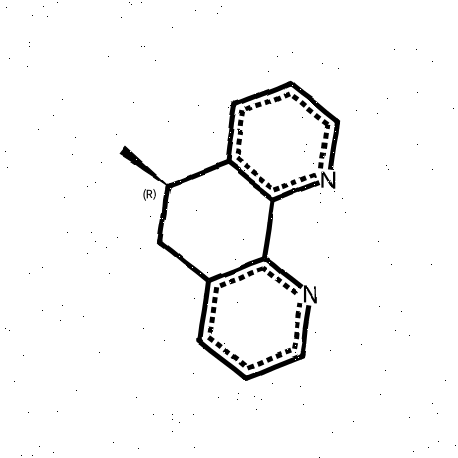 C[C@@H]1Cc2cccnc2-c2ncccc21